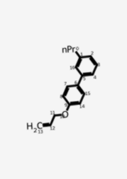 [CH2]CCc1cccc(-c2ccc(OCC=C)cc2)c1